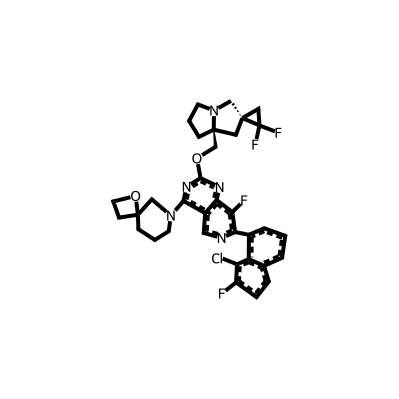 Fc1ccc2cccc(-c3ncc4c(N5CCCC6(CCO6)C5)nc(OC[C@@]56CCCN5C[C@@]5(CC5(F)F)C6)nc4c3F)c2c1Cl